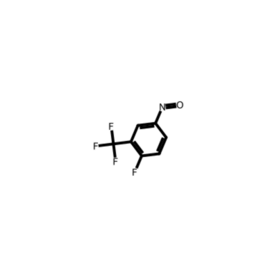 O=Nc1ccc(F)c(C(F)(F)F)c1